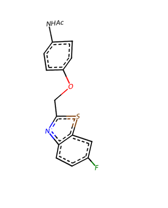 CC(=O)Nc1ccc(OCc2nc3ccc(F)cc3s2)cc1